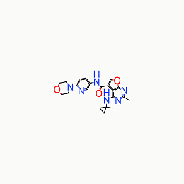 Cc1nc(NC2(C)CC2)c2c(C(=O)Nc3ccc(N4CCOCC4)nc3)coc2n1